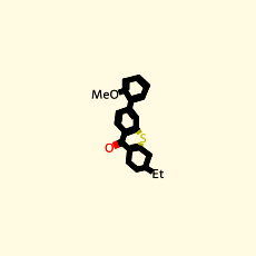 CCC1CCc2c(sc3cc(-c4ccccc4OC)ccc3c2=O)C1